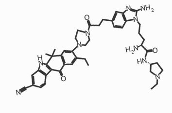 CCc1cc2c(cc1N1CCN(C(=O)CCc3ccc4c(c3)nc(N)n4CCC[C@H](N)C(=O)N[C@@H]3CCN(CC)C3)CC1)C(C)(C)c1[nH]c3cc(C#N)ccc3c1C2=O